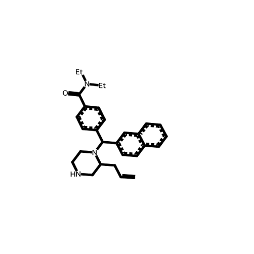 C=CCC1CNCCN1C(c1ccc(C(=O)N(CC)CC)cc1)c1ccc2ccccc2c1